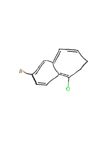 Cl\C1=c2/ccc(Br)c/c2=C/C=C\CC1